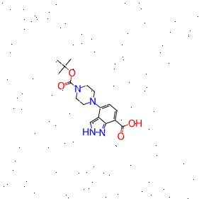 CC(C)(C)OC(=O)N1CCN(c2ccc(C(=O)O)c3n[nH]cc23)CC1